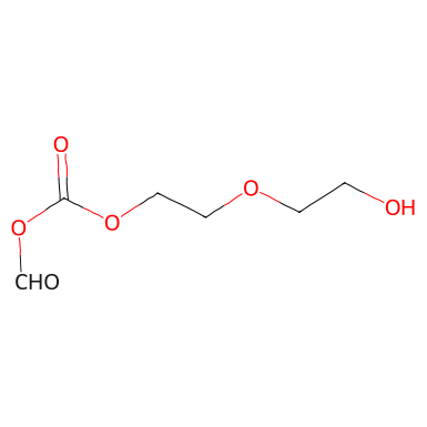 O=COC(=O)OCCOCCO